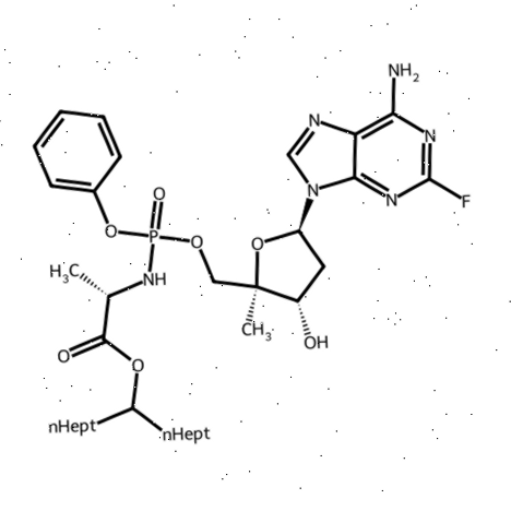 CCCCCCCC(CCCCCCC)OC(=O)[C@H](C)NP(=O)(OC[C@@]1(C)O[C@@H](n2cnc3c(N)nc(F)nc32)C[C@@H]1O)Oc1ccccc1